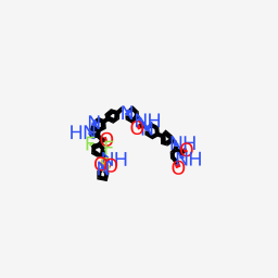 O=C1CCC(Nc2ccc(C3CCN(C(=O)NC4CCN(Cc5ccc(-c6cnc7[nH]cc(C(=O)c8c(F)ccc(NS(=O)(=O)N9CCCC9)c8F)c7c6)cc5)CC4)CC3)cc2)C(=O)N1